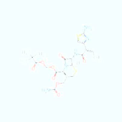 C/C=C(\C(=O)N[C@@H]1C(=O)N2C(C(=O)OCOC(=O)C(C)(C)C)=C(COC(N)=O)CS[C@H]12)c1csc(N)n1